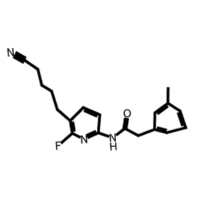 Cc1cccc(CC(=O)Nc2ccc(CCCCC#N)c(F)n2)c1